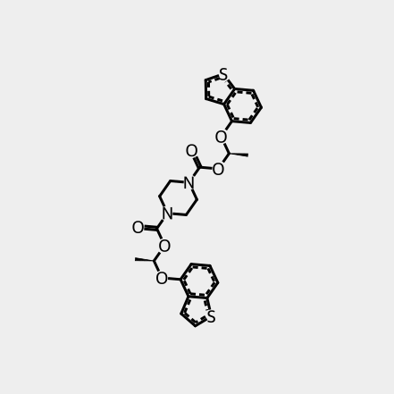 C[C@@H](OC(=O)N1CCN(C(=O)O[C@H](C)Oc2cccc3sccc23)CC1)Oc1cccc2sccc12